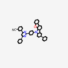 N#Cc1cccc(-c2cc(-c3ccccc3)nc(-c3ccc(-n4c5ccc(-c6ccccc6)cc5c5ccc6c7ccccc7oc6c54)cc3)n2)c1